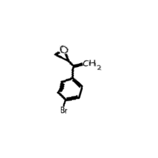 C=C(c1ccc(Br)cc1)C1CO1